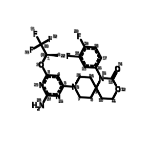 C[C@@H](Oc1cc(N2CCC3(CCOC(=O)N3c3ccc(F)c(F)c3)CC2)nc(N)n1)C(F)(F)F